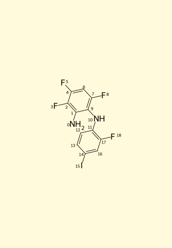 Nc1c(F)c(F)cc(F)c1Nc1ccc(I)cc1F